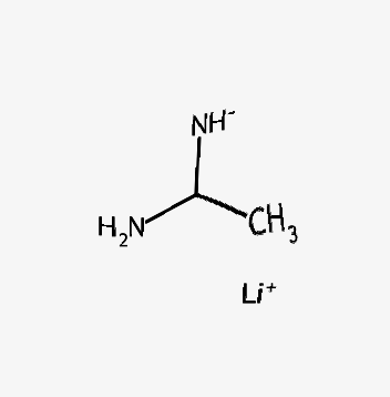 CC([NH-])N.[Li+]